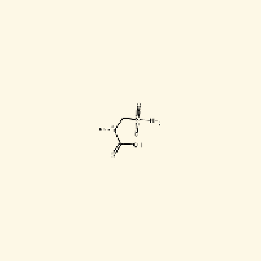 C[C@H](CS(N)(=O)=O)C(=O)O